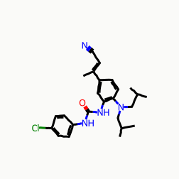 C/C(=C\C#N)c1ccc(N(CC(C)C)CC(C)C)c(NC(=O)Nc2ccc(Cl)cc2)c1